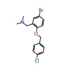 CN(C)Cc1cc(Br)ccc1OCc1ccc(Cl)cc1